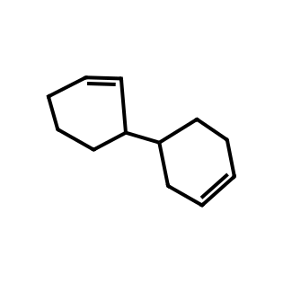 C1=CC(C2CC=CCC2)CCC1